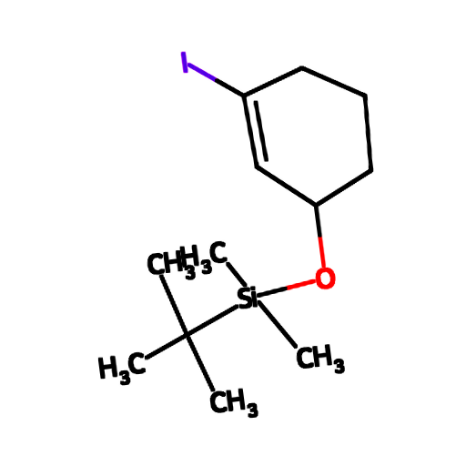 CC(C)(C)[Si](C)(C)OC1C=C(I)CCC1